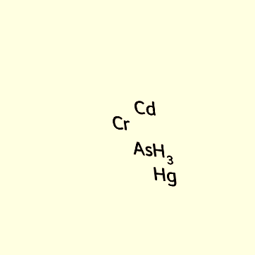 [AsH3].[Cd].[Cr].[Hg]